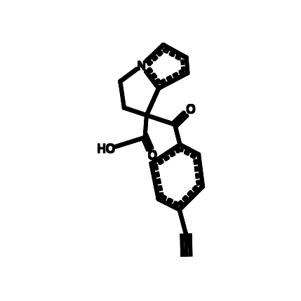 C#Cc1ccc(C(=O)C2(C(=O)O)CCn3cccc32)cc1